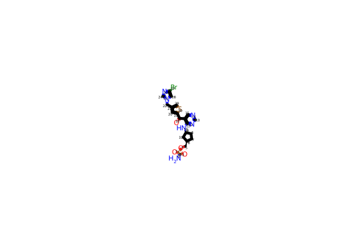 NS(=O)(=O)OC[C@@H]1CC[C@H](Nc2ncncc2C(=O)c2cc(Cn3cnc(Br)c3)cs2)C1